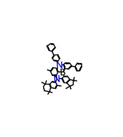 Cc1cc2c3c(c1)N(c1cc4c(cc1C)C(C)(C)CCC4(C)C)c1cc4c(cc1B3c1cc(-c3ccccc3)ccc1N2c1ccc(-c2ccccc2)cc1)C(C)(C)CC4(C)C